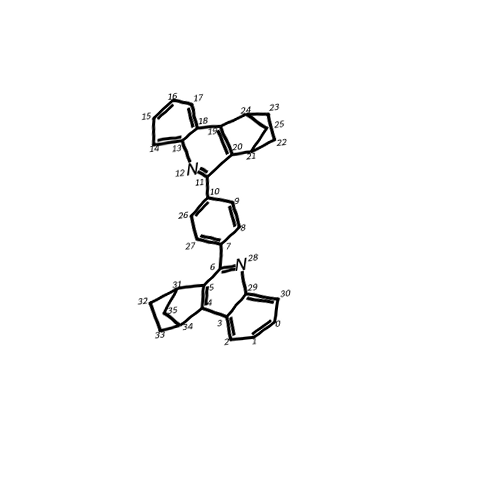 c1ccc2c3c(c(-c4ccc(-c5nc6ccccc6c6c5C5CCC6C5)cc4)nc2c1)C1CCC3C1